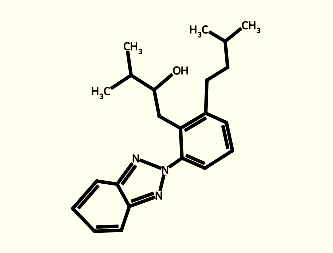 CC(C)CCc1cccc(-n2nc3ccccc3n2)c1CC(O)C(C)C